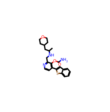 CC(CC1CCOCC1)NCc1nccc(-c2cc3ccccc3s2)c1OC(N)=O